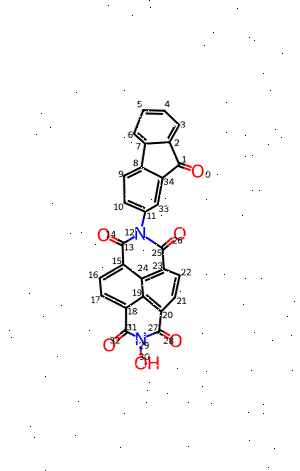 O=C1c2ccccc2-c2ccc(N3C(=O)c4ccc5c6c(ccc(c46)C3=O)C(=O)N(O)C5=O)cc21